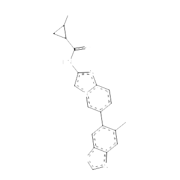 Cc1cc2ncsc2cc1-c1ccc2nc(NC(=O)C3CC3F)cn2c1